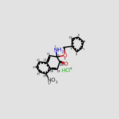 Cl.NC1(OCc2ccccc2)C=c2cccc([N+](=O)[O-])c2=CC1=O